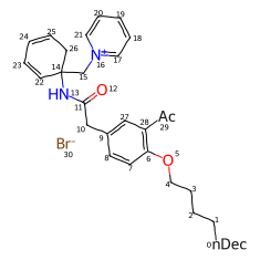 CCCCCCCCCCCCCCOc1ccc(CC(=O)NC2(C[n+]3ccccc3)C=CC=CC2)cc1C(C)=O.[Br-]